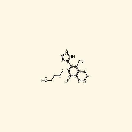 N#Cc1c(-c2ccn[nH]2)c(CCCCO)c(F)c2ccccc12